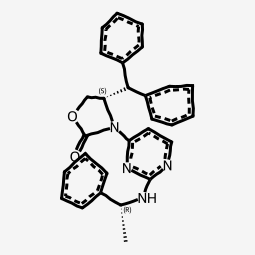 C[C@@H](Nc1nccc(N2C(=O)OC[C@@H]2C(c2ccccc2)c2ccccc2)n1)c1ccccc1